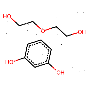 OCCOCCO.Oc1cccc(O)c1